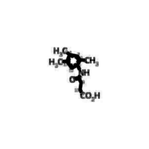 Cc1cc(C)c(NC(=O)CCC(=O)O)cc1C